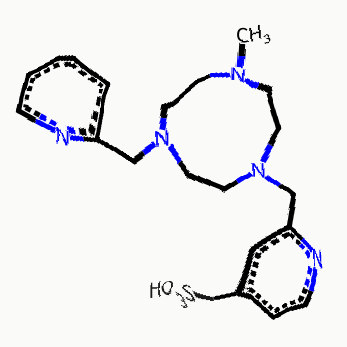 CN1CCN(Cc2ccccn2)CCN(Cc2cc(S(=O)(=O)O)ccn2)CC1